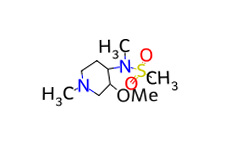 COC1CN(C)CCC1N(C)S(C)(=O)=O